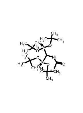 CC(C)(C)OP(=O)(OC(C)(C)C)C(NC(=O)S)P(=O)(OC(C)(C)C)OC(C)(C)C